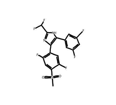 CS(=O)(=O)c1cc(F)c(-c2nc(C(F)F)[nH]c2-c2cc(F)cc(F)c2)cc1F